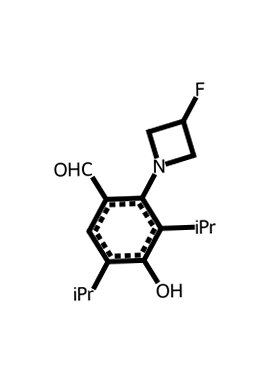 CC(C)c1cc(C=O)c(N2CC(F)C2)c(C(C)C)c1O